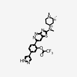 C[C@@H]1C[C@@H](N(C)c2nc3nnc(-c4ccc(-c5cn[nH]c5)cc4OC(=O)C(F)(F)F)cc3s2)CCN1C